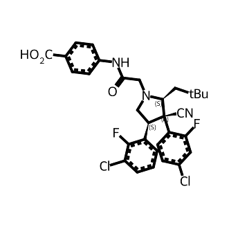 CC(C)(C)C[C@@H]1N(CC(=O)Nc2ccc(C(=O)O)cc2)C[C@H](c2cccc(Cl)c2F)[C@@]1(C#N)c1ccc(Cl)cc1F